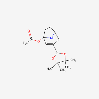 CC1(C)OB(C2=CC3(OC(=O)C(F)(F)F)CCC(C2)N3)OC1(C)C